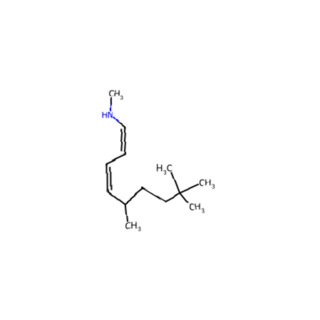 CN/C=C\C=C/C(C)CCC(C)(C)C